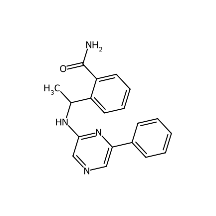 CC(Nc1cncc(-c2ccccc2)n1)c1ccccc1C(N)=O